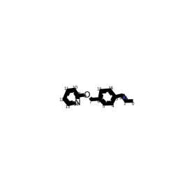 C/C=C/c1ccc(COc2ccccn2)cc1